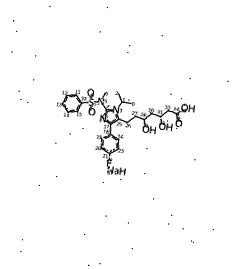 CC(C)n1c(N(C)S(=O)(=O)c2ccccc2)nc(-c2ccc(F)cc2)c1CCC(O)CC(O)CC(=O)O.[NaH]